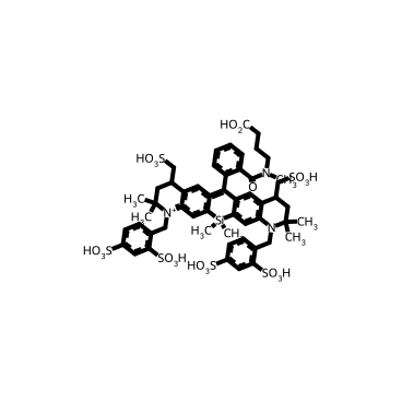 CN(CCCC(=O)O)C(=O)c1ccccc1C1=c2cc3c(cc2[Si](C)(C)c2cc4c(cc21)C(CS(=O)(=O)O)CC(C)(C)N4Cc1ccc(S(=O)(=O)O)cc1S(=O)(=O)O)=[N+](Cc1ccc(S(=O)(=O)O)cc1S(=O)(=O)O)C(C)(C)CC3CS(=O)(=O)O